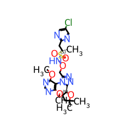 COc1ncnc(OC)c1-n1c(CONS(=O)(=O)[C@@H](C)Cc2ncc(Cl)cn2)nnc1[C@@H]1CCC(C)(C)O1